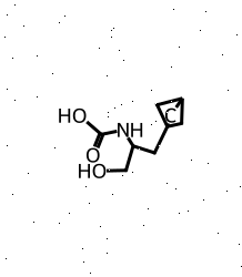 O=C(O)NC(CO)CC12CC(C1)C2